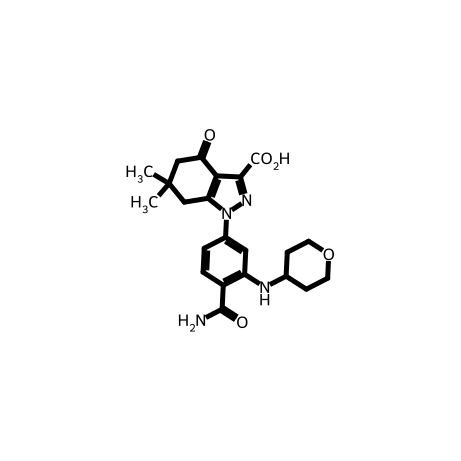 CC1(C)CC(=O)c2c(C(=O)O)nn(-c3ccc(C(N)=O)c(NC4CCOCC4)c3)c2C1